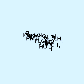 Cc1ncsc1-c1ccc([C@H](C)NC(=O)[C@@H]2C[C@@H](O)CN2C(=O)[C@@H](c2cc(OCCN3CCC(N4CCN5c6cc(-c7ccccc7O)nnc6NC(C)C5C4)CC3)no2)C(C)C)cc1